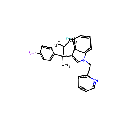 CC(C)C(C)(c1ccc(I)cc1)c1cn(Cc2ccccn2)c2cccc(F)c12